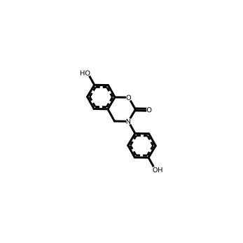 O=C1Oc2cc(O)ccc2CN1c1ccc(O)cc1